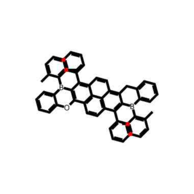 Cc1cccc(C)c1B1c2ccccc2Cc2c1c(-c1ccccc1)c1ccc3c4c(c(-c5ccccc5)c5ccc2c1c35)B(c1c(C)cccc1C)c1ccccc1O4